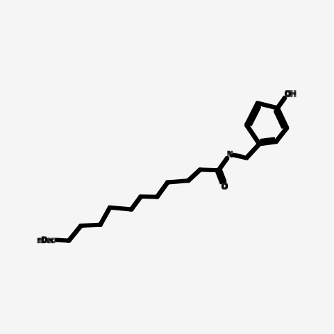 CCCCCCCCCCCCCCCCCCCCC(=O)[N]Cc1ccc(O)cc1